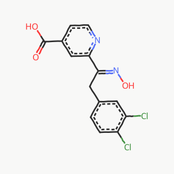 O=C(O)c1ccnc(/C(Cc2ccc(Cl)c(Cl)c2)=N/O)c1